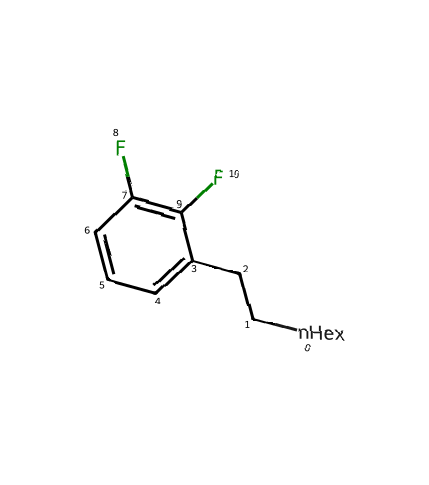 CCCCCCCCc1cccc(F)c1F